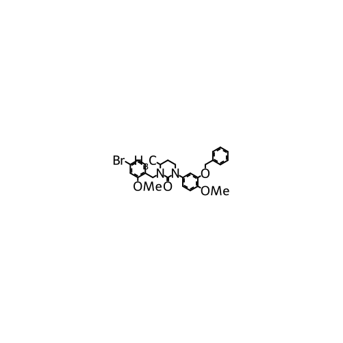 COc1cc(Br)ccc1CN1C(=O)N(c2ccc(OC)c(OCc3ccccc3)c2)CCC1C